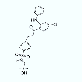 CC(C)(O)CNS(=O)(=O)c1ccc(CCC(=O)c2ccc(Cl)cc2Nc2ccccc2)cc1